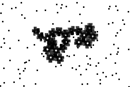 Cc1cc(-c2ccc(-c3cccs3)s2)cc(-c2ccc(-c3ccc(-c4cc(-c5ccc(-c6ccc(-c7cc(N(c8ccccc8)c8ccccc8)cc(N(c8ccccc8)c8ccccc8)c7)s6)s5)cc(-c5ccc(-c6ccc(-c7cc(N(c8ccccc8)c8ccccc8)cc(N(c8ccccc8)c8ccccc8)c7)s6)s5)c4)s3)s2)c1